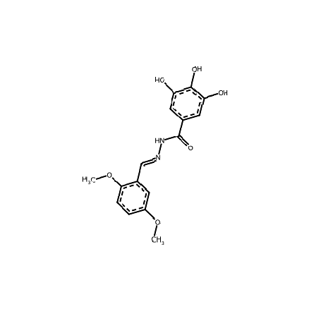 COc1ccc(OC)c(C=NNC(=O)c2cc(O)c(O)c(O)c2)c1